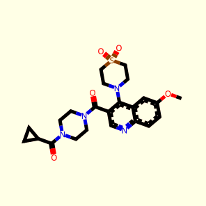 COc1ccc2ncc(C(=O)N3CCN(C(=O)C4CC4)CC3)c(N3CCS(=O)(=O)CC3)c2c1